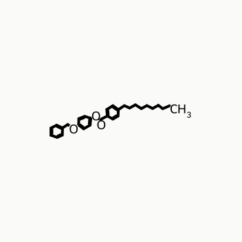 CCCCCCCCCCc1ccc(C(=O)Oc2ccc(OCc3ccccc3)cc2)cc1